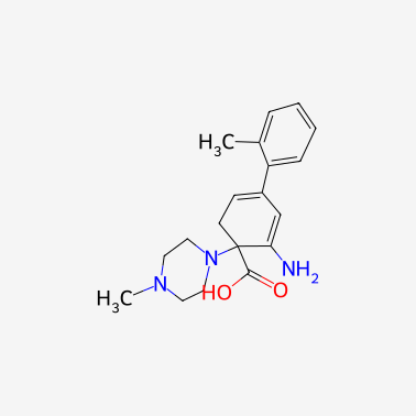 Cc1ccccc1C1=CCC(C(=O)O)(N2CCN(C)CC2)C(N)=C1